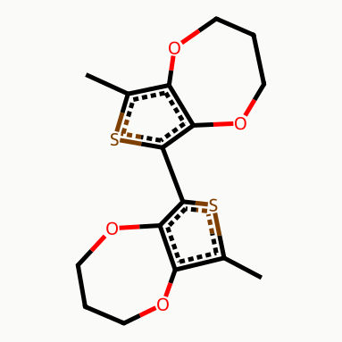 Cc1sc(-c2sc(C)c3c2OCCCO3)c2c1OCCCO2